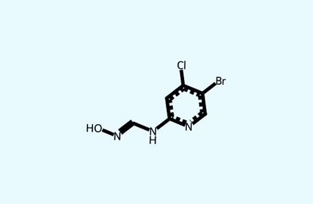 ON=CNc1cc(Cl)c(Br)cn1